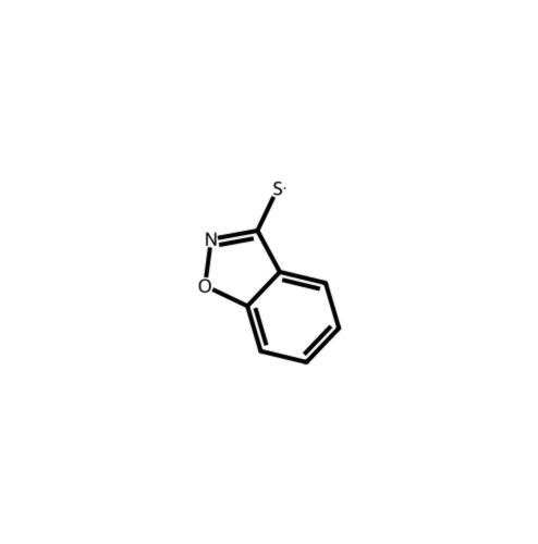 [S]c1noc2ccccc12